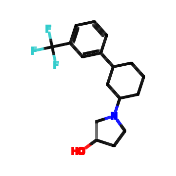 OC1CCN(C2CCCC(c3cccc(C(F)(F)F)c3)C2)C1